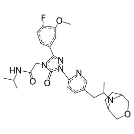 COc1cc(-c2nn(-c3ccc(CC(C)N4C5CCC4COC5)cn3)c(=O)n2CC(=O)NC(C)C)ccc1F